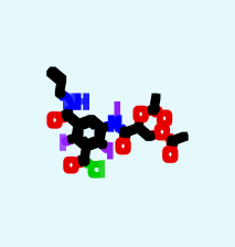 C=CCNC(=O)c1cc(N(I)C(=O)C(COC(C)=O)OC(C)=O)c(I)c(C(=O)Cl)c1I